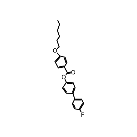 CCCCCCOc1ccc(C(=O)Oc2ccc(-c3ccc(F)cc3)cc2)cc1